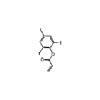 C=CC(=O)Oc1c(I)cc(I)cc1I